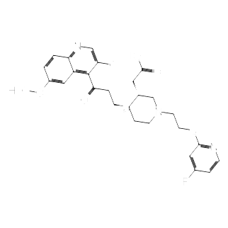 COc1ccc2ncc(Cl)c(C(=O)CC[C@@H]3CCN(CCSc4cc(F)ccn4)C[C@@H]3CC(=O)O)c2c1